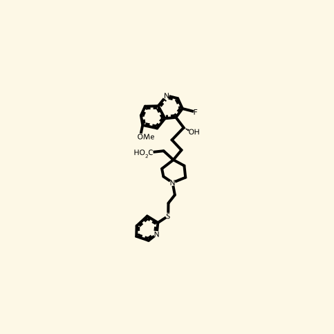 COc1ccc2ncc(F)c([C@H](O)CCC3(CC(=O)O)CCN(CCSc4ccccn4)CC3)c2c1